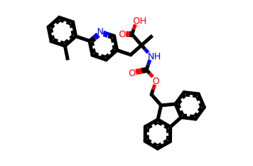 Cc1ccccc1-c1ccc(CC(C)(NC(=O)OCC2c3ccccc3-c3ccccc32)C(=O)O)cn1